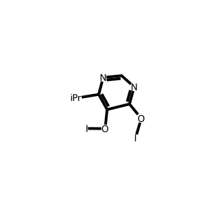 CC(C)c1ncnc(OI)c1OI